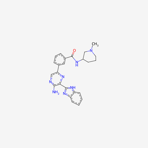 CN1CCCC(NC(=O)c2cccc(-c3cnc(N)c(-c4nc5ccccc5[nH]4)n3)c2)C1